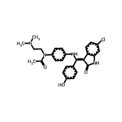 CC(=O)N(CCN(C)C)c1ccc(NC(=C2C(=O)Nc3cc(Cl)ccc32)c2ccc(O)cc2)cc1